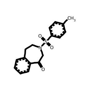 Cc1ccc(S(=O)(=O)N2CCc3ccccc3C(=O)C2)cc1